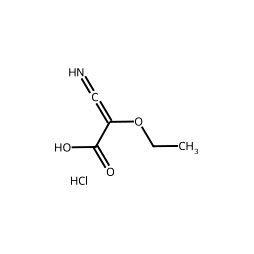 CCOC(=C=N)C(=O)O.Cl